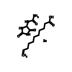 C=CCCCCCCCCC(=O)O.NC(=O)NC1NC(=O)NC1=O.[Zn]